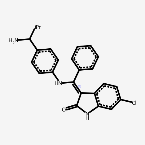 CC(C)C(N)c1ccc(N/C(=C2\C(=O)Nc3cc(Cl)ccc32)c2ccccc2)cc1